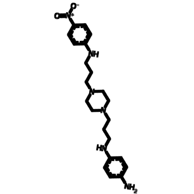 Nc1ccc(NCCCN2CCN(CCCNc3ccc([N+](=O)[O-])cc3)CC2)cc1